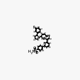 NS(=O)(=O)c1ccc(-c2cccc(-c3cnc4ccc(N5CCCC5c5cccc(F)c5)nn34)n2)cc1